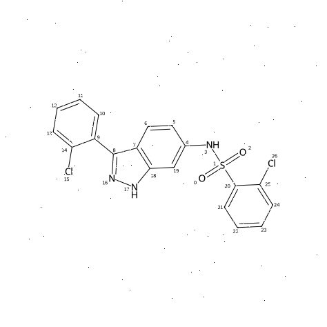 O=S(=O)(Nc1ccc2c(-c3ccccc3Cl)n[nH]c2c1)c1ccccc1Cl